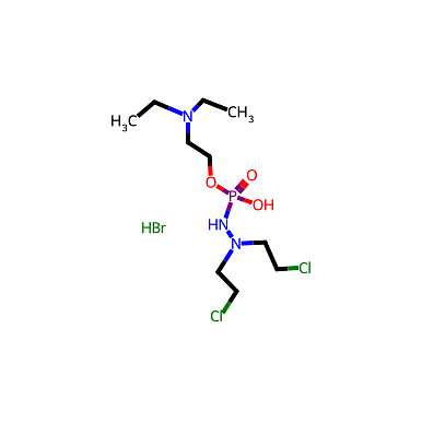 Br.CCN(CC)CCOP(=O)(O)NN(CCCl)CCCl